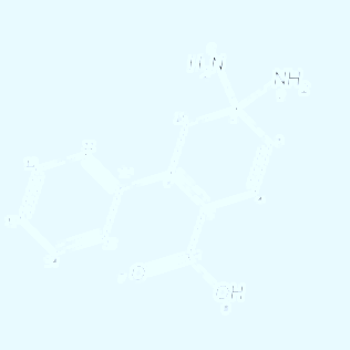 NC1(N)C=CC(C(=O)O)=C(c2ccccc2)C1